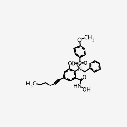 CCCCC#Cc1cc(C)c(N(Cc2ccccc2)S(=O)(=O)c2ccc(OC)cc2)c(C(=O)NO)c1